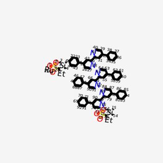 CCC([Si](C)(C)C)S(=O)(=O)[O-].CCC([Si](C)(C)C)S(=O)(=O)[O-].[Ru+2].c1ccc(-c2ccnc(-c3cc(-c4ccccc4)ccn3)c2)cc1.c1ccc(-c2ccnc(-c3cc(-c4ccccc4)ccn3)c2)cc1.c1ccc(-c2ccnc(-c3cc(-c4ccccc4)ccn3)c2)cc1